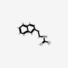 CCC(=O)NCCc1ccc2ccccc2c1